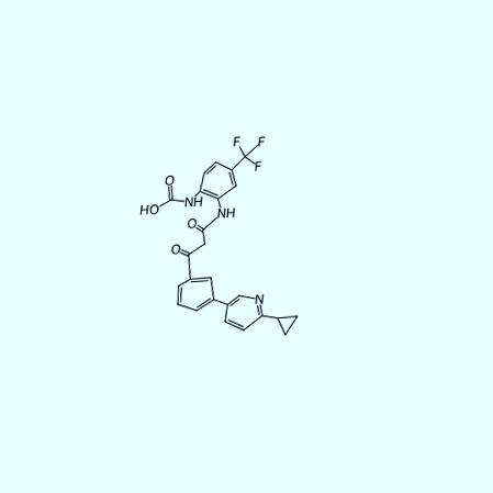 O=C(O)Nc1ccc(C(F)(F)F)cc1NC(=O)CC(=O)c1cccc(-c2ccc(C3CC3)nc2)c1